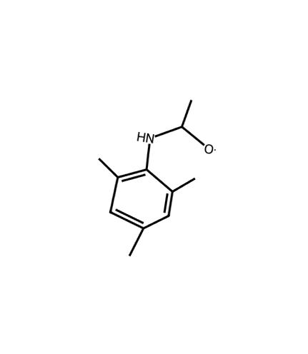 Cc1cc(C)c(NC(C)[O])c(C)c1